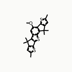 COc1cc2c3c(sc2c2c1-c1sc(C)cc1C2(C)C)-c1sc(C)cc1C3(C)C